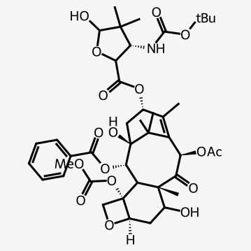 COC(=O)O[C@@]12CO[C@@H]1CC(O)[C@@]1(C)C(=O)[C@H](OC(C)=O)C3=C(C)[C@@H](OC(=O)C4OC(O)C(C)(C)[C@@H]4NC(=O)OC(C)(C)C)C[C@@](O)([C@@H](OC(=O)c4ccccc4)C12)C3(C)C